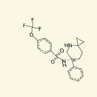 O=S(=O)(N[C@@]1(c2ccccc2)CCC2(CC2)NC1)c1ccc(OC(F)(F)F)cc1